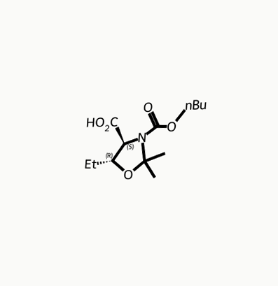 CCCCOC(=O)N1[C@H](C(=O)O)[C@@H](CC)OC1(C)C